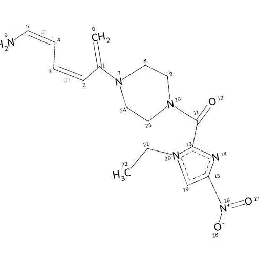 C=C(/C=C\C=C/N)N1CCN(C(=O)c2nc([N+](=O)[O-])cn2CC)CC1